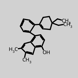 CCC1(CC)CC=C(c2ccccc2-c2ccc(O)c3cc(C)c(C)cc23)CC1